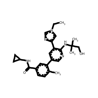 CCn1cnc(-c2cc(-c3cc(C(=O)NC4CC4)ccc3C)cnc2NC(C)(C)CO)c1